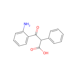 Nc1ccccc1C(=O)C(C(=O)O)c1ccccc1